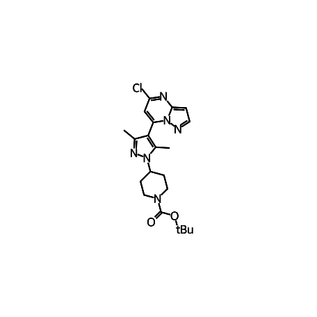 Cc1nn(C2CCN(C(=O)OC(C)(C)C)CC2)c(C)c1-c1cc(Cl)nc2ccnn12